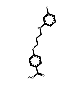 COC(=O)c1ccc(OCCCNc2cccc(Cl)c2)cc1